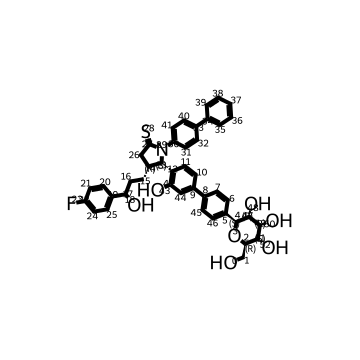 OC[C@H]1O[C@@H](c2ccc(-c3ccc([C@@H]4[C@H](CCC(O)c5ccc(F)cc5)CC(=S)N4c4ccc(-c5ccccc5)cc4)c(O)c3)cc2)[C@H](O)[C@@H](O)[C@@H]1O